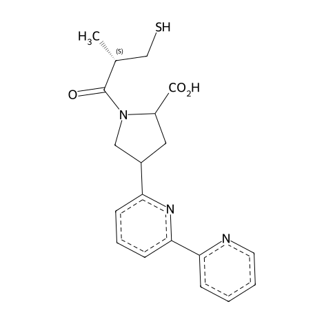 C[C@H](CS)C(=O)N1CC(c2cccc(-c3ccccn3)n2)CC1C(=O)O